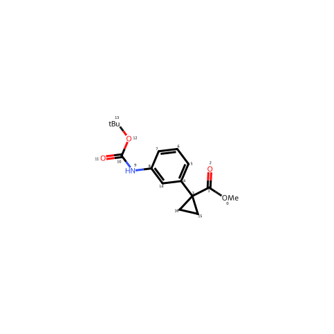 COC(=O)C1(c2cccc(NC(=O)OC(C)(C)C)c2)CC1